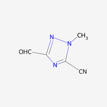 Cn1nc(C=O)nc1C#N